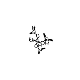 CC[Si](O[SiH](C)C)(O[SiH](C)C)O[SiH](C)C